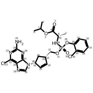 CC(C)OC(=O)[C@H](C)NP(=O)(OC[C@@H]1C=C[C@H](n2cnc3c(Cl)nc(N)nc32)C1)Oc1ccccc1Cl